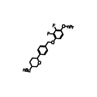 CCCCC1CCC(c2ccc(COc3ccc(OCCC)c(F)c3F)cc2)OC1